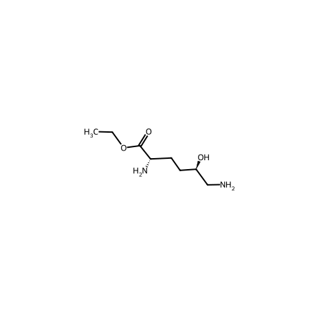 CCOC(=O)[C@@H](N)CC[C@@H](O)CN